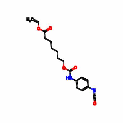 C=COC(=O)CCCCCCOC(=O)Nc1ccc(N=C=O)cc1